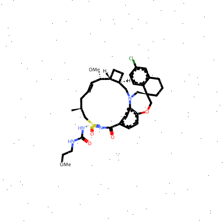 COCCNC(=O)N[S@@]1(=O)=NC(=O)c2ccc3c(c2)N(C[C@@H]2CC[C@H]2[C@@H](OC)/C=C/C[C@H](C)C1)C[C@@]1(CCCc2cc(Cl)ccc21)CO3